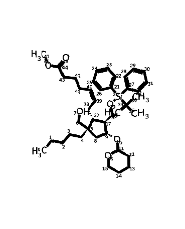 CCCCC[C@]1(CO)C[C@@H](OC2CCCCO2)[C@H](CO[Si](c2ccccc2)(c2ccccc2)C(C)(C)C)[C@H]1C/C=C\CCCC(=O)OC